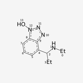 CCNC(CC)c1cccc2c1nnn2O